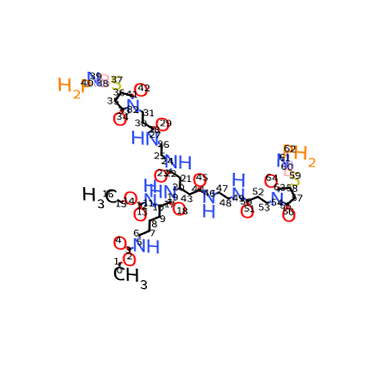 CCOC(=O)NCCCCC(NC(=O)OCC)C(=O)NC(CC(=O)NCCNC(=O)CCN1C(=O)CC(S/B=N/P)C1=O)CC(=O)NCCNC(=O)CCN1C(=O)CC(S/B=N/P)C1=O